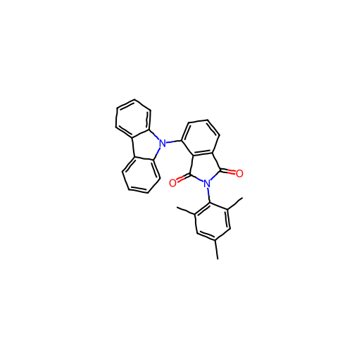 Cc1cc(C)c(N2C(=O)c3cccc(-n4c5ccccc5c5ccccc54)c3C2=O)c(C)c1